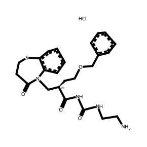 Cl.NCCNC(=O)NC(=O)[C@H](CCOCc1ccccc1)CN1C(=O)CCSc2ccccc21